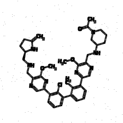 C=C1CC[C@H](CNCc2ncc(-c3cccc(-c4cccc(-c5cnc(CNC6CCCN(C(C)=O)C6)c(OC)n5)c4C)c3Cl)nc2OC)N1